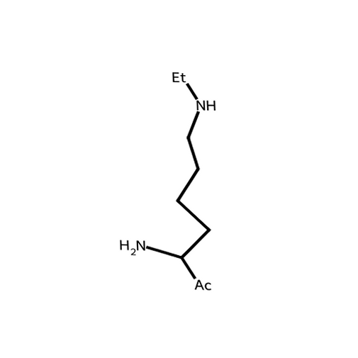 CCNCCCCC(N)C(C)=O